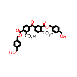 O=C(c1ccc(C(=O)OCc2ccc(CO)cc2)c(C(=O)O)c1)c1ccc(C(=O)O)c(C(=O)OCc2ccc(CO)cc2)c1